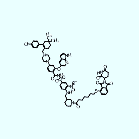 CC1(C)CCC(CN2CCN(c3ccc(C(=O)NS(=O)(=O)c4ccc(NCC5CCCN(C(=O)CCCCCCSc6cccc7c6C(=O)N(C6CCC(=O)NC6=O)C7=O)C5)c([N+](=O)[O-])c4)c(Oc4cnc5[nH]ccc5c4)c3)CC2)=C(c2ccc(Cl)cc2)C1